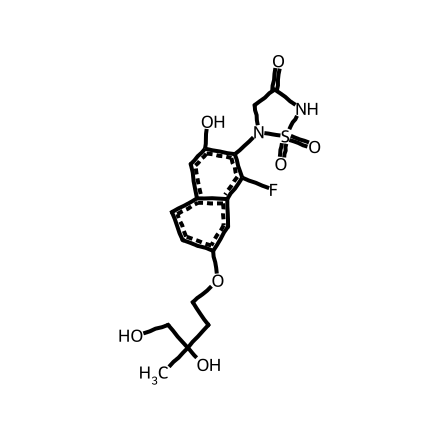 CC(O)(CO)CCOc1ccc2cc(O)c(N3CC(=O)NS3(=O)=O)c(F)c2c1